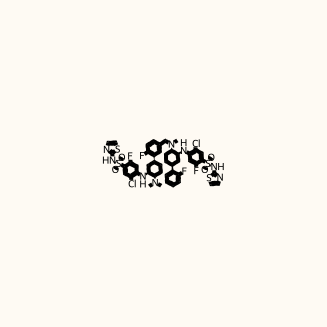 CN(C)[C@H]1CC[C@@H](c2cc(CN(C)[C@H]3CC[C@H](c4ccccc4F)C[C@@H]3Nc3cc(F)c(S(=O)(=O)Nc4nccs4)cc3Cl)ccc2F)C[C@@H]1Nc1cc(F)c(S(=O)(=O)Nc2nccs2)cc1Cl